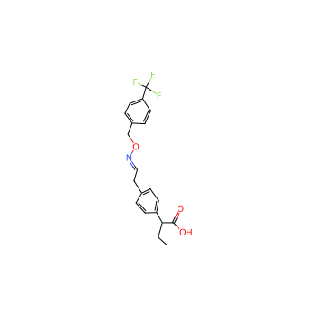 CCC(C(=O)O)c1ccc(CC=NOCc2ccc(C(F)(F)F)cc2)cc1